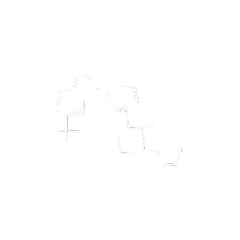 CC1CN(c2ccnc(-c3cnc4cnc(C(F)(F)F)cn34)n2)C(C)C(c2c[nH]cn2)O1